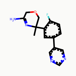 CC1(c2cc(-c3cncnc3)ccc2F)COCC(N)=N1